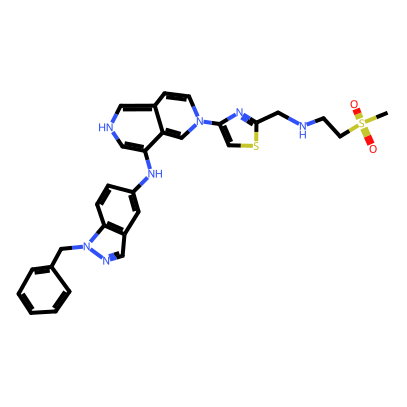 CS(=O)(=O)CCNCc1nc(N2C=CC3=CNC=C(Nc4ccc5c(cnn5Cc5ccccc5)c4)C3=C2)cs1